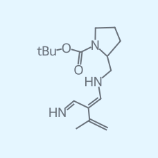 C=C(C)/C(C=N)=C/NCC1CCCN1C(=O)OC(C)(C)C